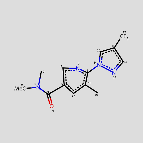 CON(C)C(=O)c1cnc(-n2cc(C(F)(F)F)cn2)c(C)c1